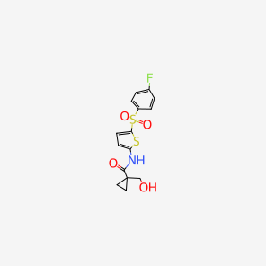 O=C(Nc1ccc(S(=O)(=O)c2ccc(F)cc2)s1)C1(CO)CC1